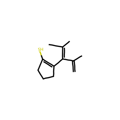 C=C(C)C(=C(C)C)C1=C(S)CCC1